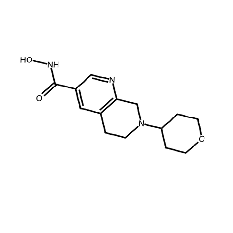 O=C(NO)c1cnc2c(c1)CCN(C1CCOCC1)C2